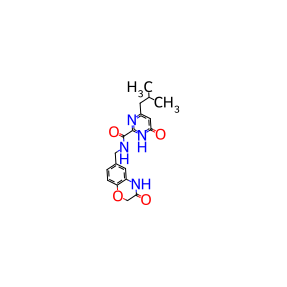 CC(C)Cc1cc(=O)[nH]c(C(=O)NCc2ccc3c(c2)NC(=O)CO3)n1